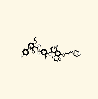 C=Nc1cc(OCCCN2CCOCC2)c2c(c1/C(=C\C)Oc1ccc(NC(=O)c3c(OCC)ccn(-c4ccc(F)cc4)c3=O)cc1F)OCCO2